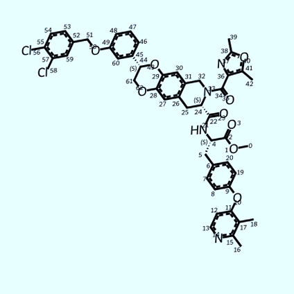 COC(=O)[C@H](Cc1ccc(Oc2ccnc(C)c2C)cc1)NC(=O)[C@@H]1Cc2cc3c(cc2CN1C(=O)c1nc(C)oc1C)O[C@@H](c1cccc(OCc2ccc(Cl)c(Cl)c2)c1)CO3